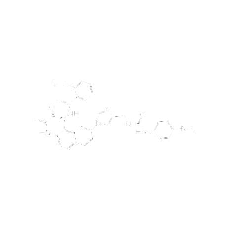 Cc1ccccc1C(=O)Nn1c(=O)c(=O)[nH]c2ccc3ccc(-n4ccc(CNC(=O)Nc5ccc([N+](=O)[O-])cc5)c4)cc3c21